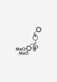 COc1cc2c(cc1OC)S(=O)(=O)/C(=C/C1CCN(Cc3ccccc3)CC1)C2